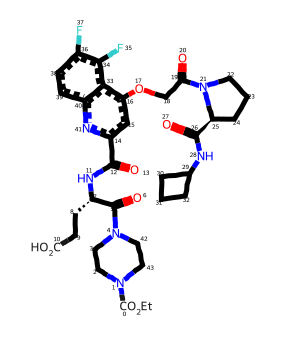 CCOC(=O)N1CCN(C(=O)[C@H](CCC(=O)O)NC(=O)c2cc(OCC(=O)N3CCC[C@H]3C(=O)NC3CCC3)c3c(F)c(F)ccc3n2)CC1